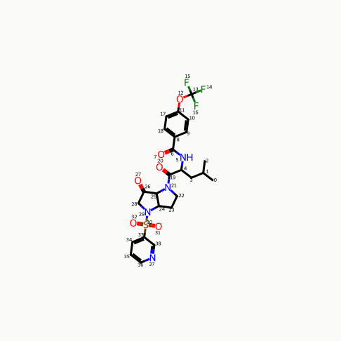 CC(C)CC(NC(=O)c1ccc(OC(F)(F)F)cc1)C(=O)N1CCC2C1C(=O)CN2S(=O)(=O)c1cccnc1